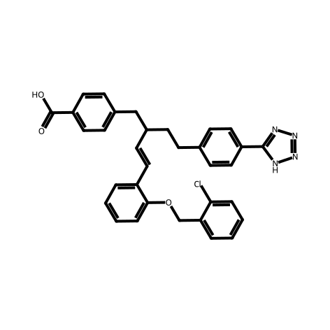 O=C(O)c1ccc(CC(/C=C/c2ccccc2OCc2ccccc2Cl)CCc2ccc(-c3nnn[nH]3)cc2)cc1